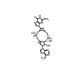 Nc1nc2c(ncn2C2OC3COP(=O)(S)OC4C(O)C(n5cnc6c(N)ncnc65)C5CC54COP(=O)(O)OC2C3F)c(=O)[nH]1